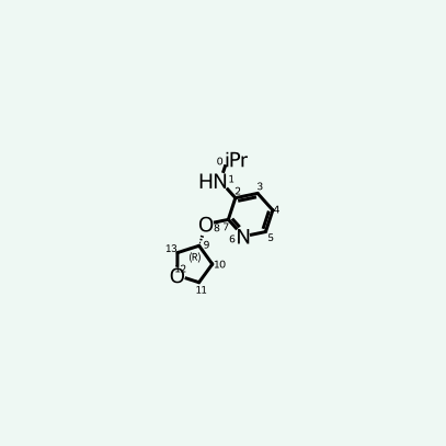 CC(C)Nc1cccnc1O[C@@H]1CCOC1